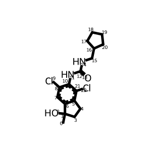 CC1(O)CCc2c1cc(Cl)c(NC(=O)NCC1CCCC1)c2Cl